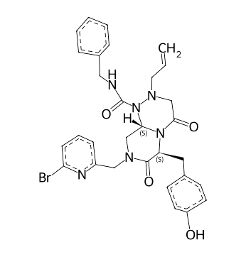 C=CCN1CC(=O)N2[C@@H](Cc3ccc(O)cc3)C(=O)N(Cc3cccc(Br)n3)C[C@@H]2N1C(=O)NCc1ccccc1